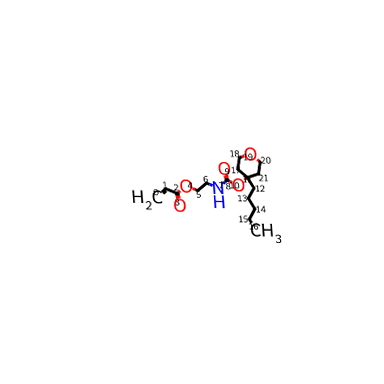 C=CC(=O)OCCNC(=O)OC1(CCCCC)CCOCC1